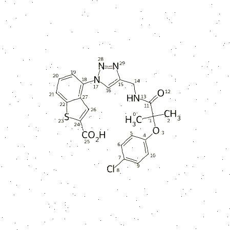 CC(C)(Oc1ccc(Cl)cc1)C(=O)NCc1cn(-c2cccc3sc(C(=O)O)cc23)nn1